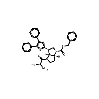 CC(C)(C)[C@H](N)C(=O)N1CC[C@@H]2[C@H]1[C@@H](c1nc(-c3ccccc3)c(-c3ccccc3)s1)CN2C(=O)OCc1ccccc1